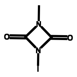 CN1C(=O)N(I)C1=O